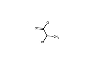 CC(O)C(=O)Cl